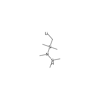 [Li][CH2][Si](C)(C)N(C)[SiH](C)C